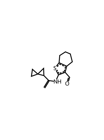 C=C(Nc1sc2c(c1C=O)CCCC2)C1CC12CC2